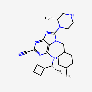 CC1CCC(Cn2c(N3CCNC[C@H]3C)nc3nc(C#N)nc(N[C@H](C)C4CCC4)c32)CC1